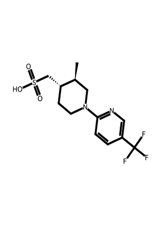 C[C@H]1CN(c2ccc(C(F)(F)F)cn2)CC[C@@H]1CS(=O)(=O)O